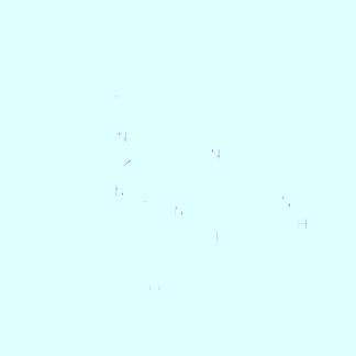 Cc1cc(C(=O)N(c2ccc(O)cc2)c2ccc3c(ccn3C)c2)cn1-c1cc2c(cc1C(=O)N1Cc3ccccc3C[C@H]1CN1CCOCC1)CCO2